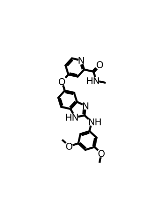 CNC(=O)c1cc(Oc2ccc3[nH]c(Nc4cc(OC)cc(OC)c4)nc3c2)ccn1